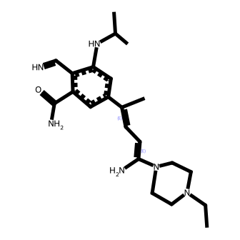 CCN1CCN(/C(N)=C/C=C(\C)c2cc(NC(C)C)c(C=N)c(C(N)=O)c2)CC1